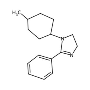 CC1CCC(N2CCN=C2c2ccccc2)CC1